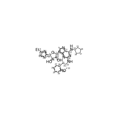 CCn1nnc([C@H]2O[C@@H](n3cnc4c(NC5CCCC5)nc(N[C@H](CO)Cc5ccccc5)nc43)[C@H](O)[C@@H]2O)n1